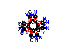 [C-]#[N+]c1ccc(Oc2cc(Oc3ccc(C#N)c(C#N)c3)c3cc2C(C)c2cc(c(Oc4ccc([N+]#[C-])c([N+]#[C-])c4)cc2Oc2ccc([N+]#[C-])c([N+]#[C-])c2)C(C)c2cc(c(Oc4ccc(C#N)c([N+]#[C-])c4)cc2Oc2ccc([N+]#[C-])c(C#N)c2)C(C)c2cc(c(Oc4ccc(C#N)c(C#N)c4)cc2Oc2ccc(C#N)c(C#N)c2)C3C)cc1C#N